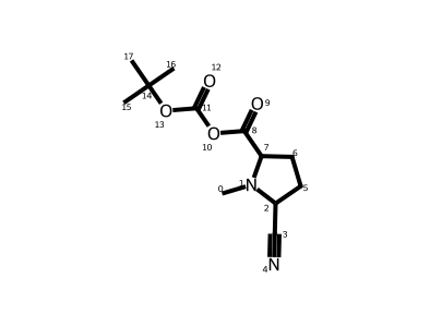 CN1C(C#N)CCC1C(=O)OC(=O)OC(C)(C)C